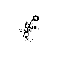 N#CCC1(n2nc(N)c3c(OCc4ccccc4)nccc32)CCC(C(=O)O)OC1